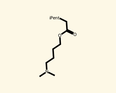 CCCC(C)CC(=O)OCCCCN(C)C